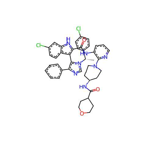 C[C@@H](c1ccc(Cl)cc1)n1cnc(-c2ccccc2)c1-c1c(C(=O)Nc2cccnc2N2CCC(NC(=O)C3CCOCC3)CC2)[nH]c2cc(Cl)ccc12